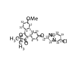 COc1ccc(C2=C(c3ccc(OCC4CN5C=C(Cl)C=CC5=N4)cc3)C(=O)C(C)(C)O2)cc1